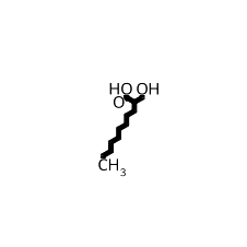 CCCCCCCCCC(CO)C(=O)O